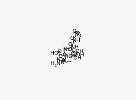 CCCCc1nc2c(N)nc3cc(C(=O)O)ccc3c2n1Cc1ccc(C[N+](C)(C)Cc2ccc(O[C@H]3O[C@H](CO)[C@@H](O)[C@H](O)[C@@H]3O)c(NC(=O)CCNC(=O)CCN3C(=O)C=CC3=O)c2)cc1